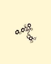 COc1cc2c(cc1OC)CN(CCNC(=O)c1ccccc1NC(=O)c1ccc(Oc3ccccc3)cc1)CC2